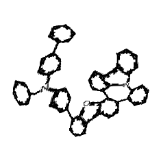 c1ccc(-c2ccc(N(c3ccccc3)c3ccc(-c4cccc5c4oc4c6c(ccc45)-c4ccccc4-n4c5ccccc5c5cccc-6c54)cc3)cc2)cc1